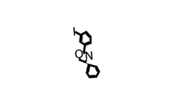 Ic1cccc(C2=N[C@H](c3ccccc3)CO2)c1